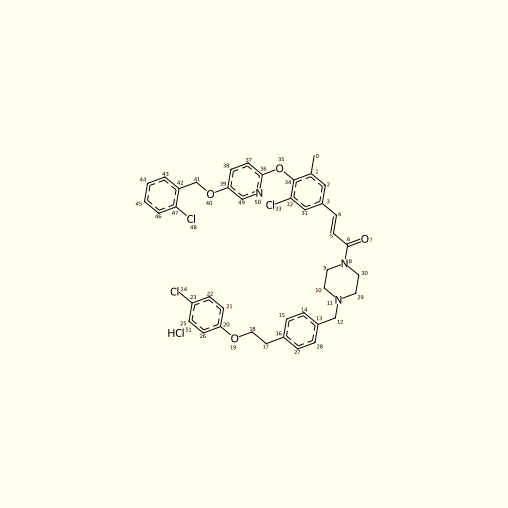 Cc1cc(C=CC(=O)N2CCN(Cc3ccc(CCOc4ccc(Cl)cc4)cc3)CC2)cc(Cl)c1Oc1ccc(OCc2ccccc2Cl)cn1.Cl